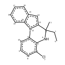 CCC1(C)Nc2c(Cl)ncnc2-n2c1cc1ccccc12